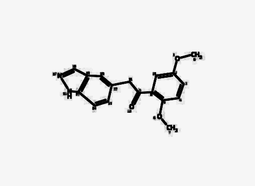 COc1ccc(OC)c(C(=O)Cc2ccc3[nH]ncc3c2)c1